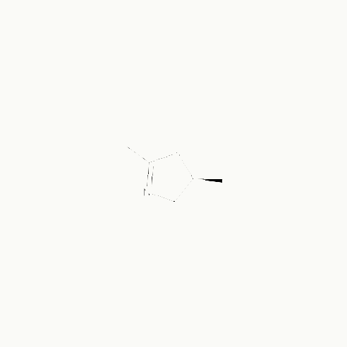 CC1=NC[C@H](C)S1